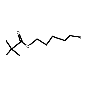 CC(C)(C)C(=O)OCCCCCI